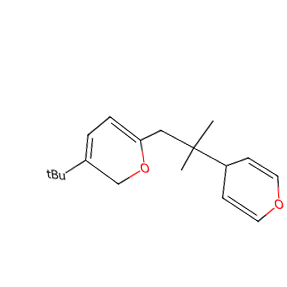 CC(C)(C)C1=CC=C(CC(C)(C)C2C=COC=C2)OC1